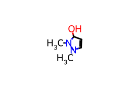 CN1C=CC(O)N1C